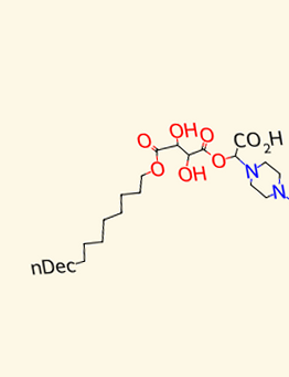 CCCCCCCCCCCCCCCCCCOC(=O)C(O)C(O)C(=O)OC(C(=O)O)N1CCN(C)CC1